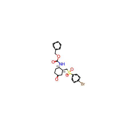 O=C1CC[C@H](NC(=O)OCc2ccccc2)[C@@H](CS(=O)(=O)c2ccc(Br)cc2)C1